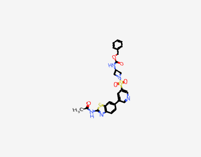 CC(=O)Nc1nc2ccc(-c3cncc(S(=O)(=O)N4CC(NC(=O)OCc5ccccc5)C4)c3)cc2s1